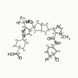 Cn1cnc(C2CC3CC(O)(c4cn(C5CCC(C(=O)O)CC5)nc4C(F)(F)F)CC3C2)c1C(=O)Nc1ccc(F)c(Cl)c1